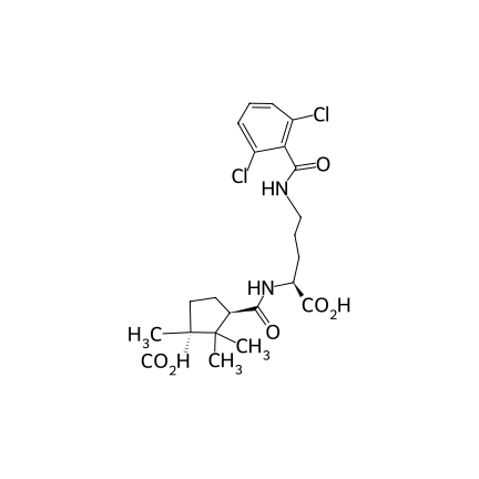 CC1(C)[C@H](C(=O)N[C@@H](CCCNC(=O)c2c(Cl)cccc2Cl)C(=O)O)CC[C@@]1(C)C(=O)O